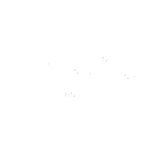 O=[N+]([O-])c1ccc2[nH]c(-c3ccccc3)nc2c1[N+](=O)[O-]